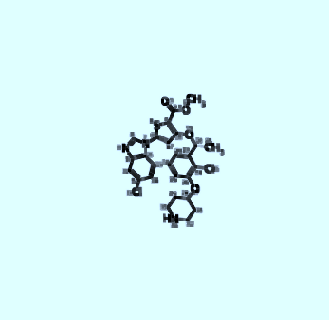 COC(=O)c1sc(-n2cnc3cc(Cl)ccc32)cc1O[C@H](C)c1cccc(OC2CCNCC2)c1Cl